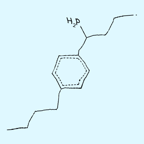 [CH2]CCC(P)c1ccc(CCCC)cc1